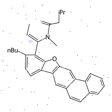 C=C(CC(C)C)N(C)/C(=C\C)c1c(CCCC)ccc2c1oc1cc3c(ccc4ccccc43)cc12